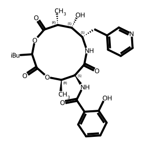 CCC(C)C1OC(=O)[C@H](C)[C@H](O)[C@H](Cc2cccnc2)NC(=O)[C@@H](NC(=O)c2ccccc2O)[C@@H](C)OC1=O